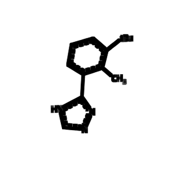 Cc1c(-c2nnc[nH]2)cccc1C(C)(C)C